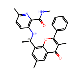 CNC(=O)c1nc(C)ccc1N[C@H](C)c1cc(C)cc2c(=O)c(C)c(-c3ccccc3)oc12